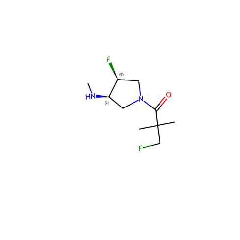 CN[C@@H]1CN(C(=O)C(C)(C)CF)C[C@@H]1F